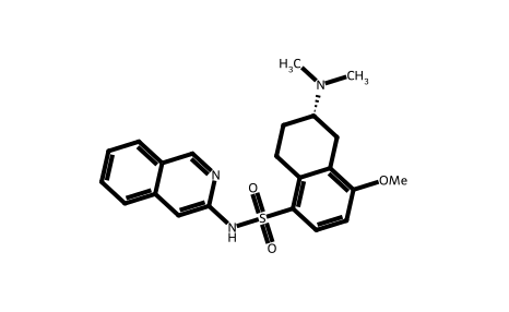 COc1ccc(S(=O)(=O)Nc2cc3ccccc3cn2)c2c1C[C@@H](N(C)C)CC2